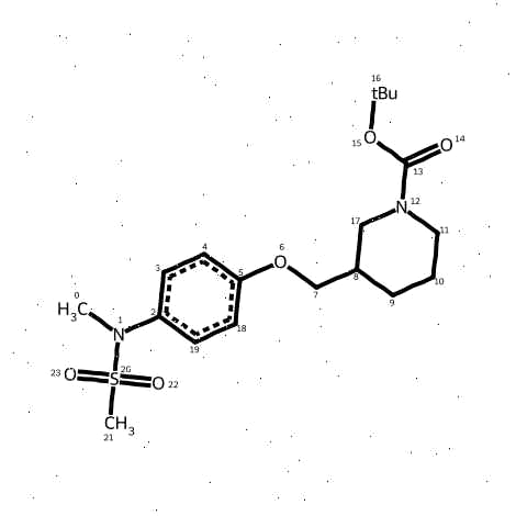 CN(c1ccc(OCC2CCCN(C(=O)OC(C)(C)C)C2)cc1)S(C)(=O)=O